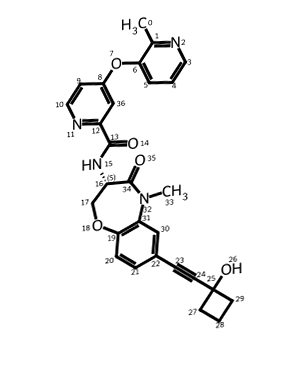 Cc1ncccc1Oc1ccnc(C(=O)N[C@H]2COc3ccc(C#CC4(O)CCC4)cc3N(C)C2=O)c1